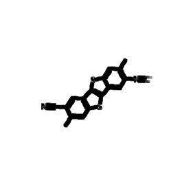 [C-]#[N+]c1cc2c(cc1C)sc1c3cc(C#N)c(C)cc3sc21